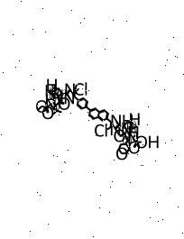 COC(=O)N[C@H](C(=O)N1[C@@H]2C[C@@H]2C[C@H]1c1nc(Cl)c(-c2ccc(-c3ccc4cc(-c5[nH]c([C@@H]6C[C@H]7C[C@H]7N6C(=O)[C@H](C6CCOCC6)N(C)C(=O)O)nc5Cl)ccc4c3)cc2)[nH]1)C(C)C